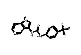 O=C(Nc1ccc(C(F)(F)F)cc1)Nc1c[nH]c2ccncc12